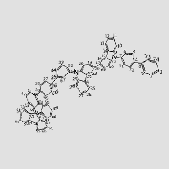 c1ccc(-c2ccc(-n3c4ccccc4c4cc(-c5ccc6c(c5)c5ccccc5n6-c5cccc(-c6ccc(-c7cccc(C8(c9ccccc9)c9ccccc9-c9ccccc98)c7)cc6)c5)ccc43)cc2)cc1